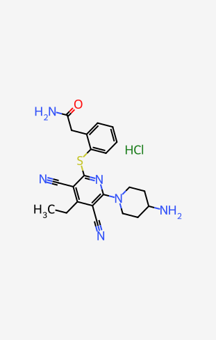 CCc1c(C#N)c(Sc2ccccc2CC(N)=O)nc(N2CCC(N)CC2)c1C#N.Cl